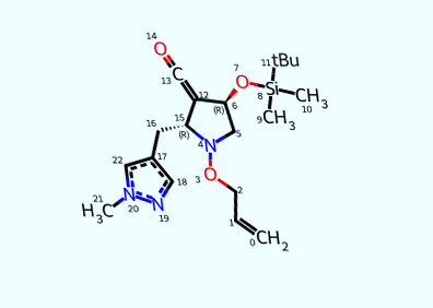 C=CCON1C[C@H](O[Si](C)(C)C(C)(C)C)C(=C=O)[C@H]1Cc1cnn(C)c1